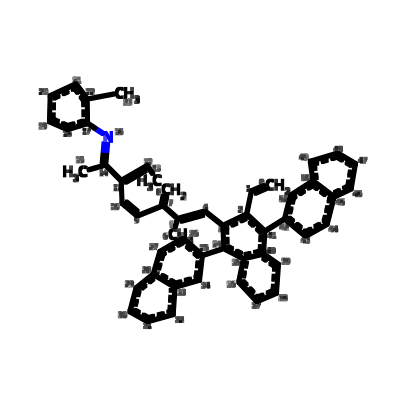 C=Cc1c(/C=C(\C)C(=C)\C=C/C(=C\C)C(/C)=N/c2ccccc2C)c(-c2ccc3ccccc3c2)c2ccccc2c1-c1ccc2ccccc2c1